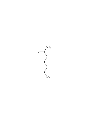 CCCCCCCC(C)[S]